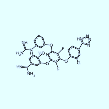 N=C(N)Nc1cccc(Oc2nc(Oc3cc(C(=N)N)ccc3O)c(F)c(Oc3ccc(-c4nnn[nH]4)cc3Cl)c2F)c1